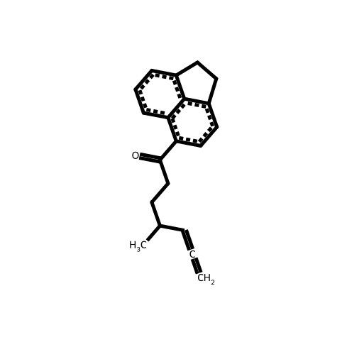 C=C=CC(C)CCC(=O)c1ccc2c3c(cccc13)CC2